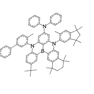 Cc1ccc(-c2ccccc2)cc1N1c2ccc(C(C)(C)C)cc2B2c3cc4c(cc3N(c3cc5c(cc3C)C(C)(C)CC5(C)C)c3cc(N(c5ccccc5)c5ccccc5)cc1c32)C(C)(C)CCC4(C)C